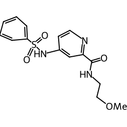 COCCNC(=O)c1cc(NS(=O)(=O)c2ccccc2)ccn1